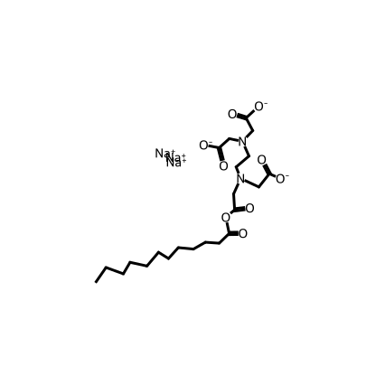 CCCCCCCCCCCC(=O)OC(=O)CN(CCN(CC(=O)[O-])CC(=O)[O-])CC(=O)[O-].[Na+].[Na+].[Na+]